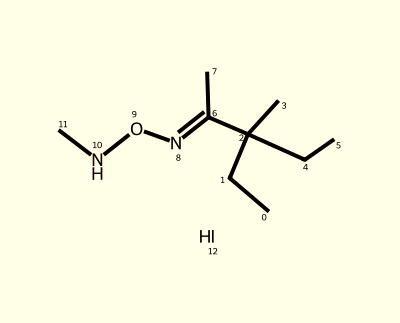 CCC(C)(CC)C(C)=NONC.I